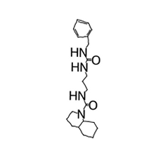 O=C(NCCCNC(=O)N1CCCC2CCCCC21)NCc1ccccc1